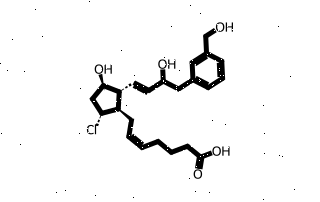 O=C(O)CCC/C=C\C[C@@H]1[C@@H](/C=C/C(O)Cc2cccc(CO)c2)[C@H](O)C[C@H]1Cl